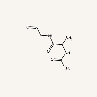 CC(=O)NC(C)C(=O)NC[C]=O